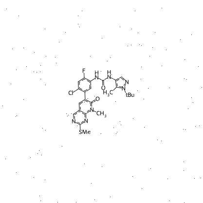 CSc1ncc2cc(-c3cc(NC(=O)Nc4cnn(C(C)(C)C)c4C)c(F)cc3Cl)c(=O)n(C)c2n1